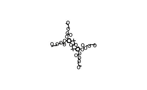 CC1(C)CC2(CC(C)(C)c3cc(OC(=O)OCOCC4CO4)c(OC(=O)OCOCC4CO4)cc3O2)Oc2cc(OC(=O)OCOCC3CO3)c(OC(=O)OCOCC3CO3)cc21